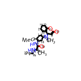 COc1ccc(N(C)c2cc(=O)oc3ccccc23)cc1NC(=O)C(C)NCC(C)C